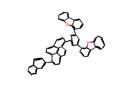 c1ccc2cc(-c3ccc4ccc5c(-c6cc(-c7cccc8c7oc7ccccc78)cc(-c7cccc8c7oc7ccccc78)c6)ccc6ccc3c4c65)ccc2c1